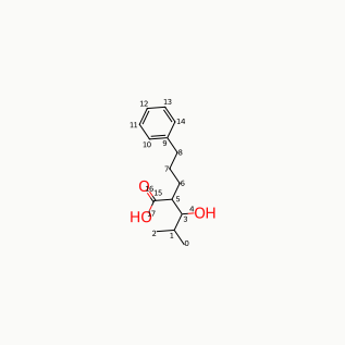 CC(C)C(O)C(CCCc1ccccc1)C(=O)O